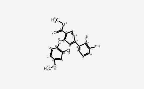 COC(=O)c1cnc(-c2cccc(F)c2F)cc1Oc1ccc(OC)cc1Cl